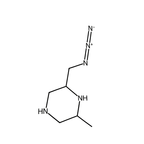 CC1CNCC(CN=[N+]=[N-])N1